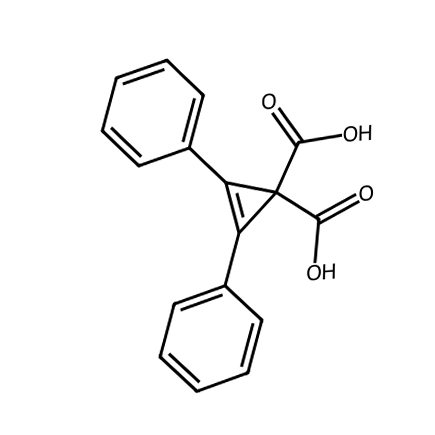 O=C(O)C1(C(=O)O)C(c2ccccc2)=C1c1ccccc1